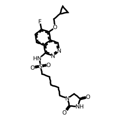 O=C1CN(CCCCCS(=O)(=O)Nc2nncc3c(OCC4CC4)c(F)ccc23)C(=O)N1